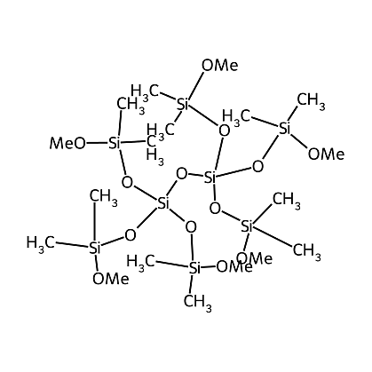 CO[Si](C)(C)O[Si](O[Si](C)(C)OC)(O[Si](C)(C)OC)O[Si](O[Si](C)(C)OC)(O[Si](C)(C)OC)O[Si](C)(C)OC